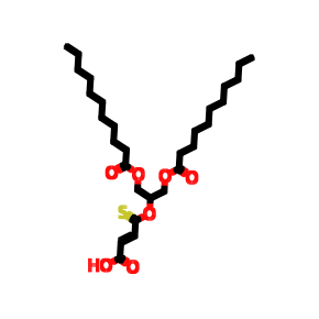 CCCCCCCCCCC(=O)OCC(COC(=O)CCCCCCCCCC)OC(=S)/C=C/C(=O)O